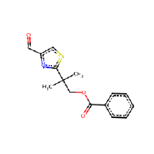 CC(C)(COC(=O)c1ccccc1)c1nc(C=O)cs1